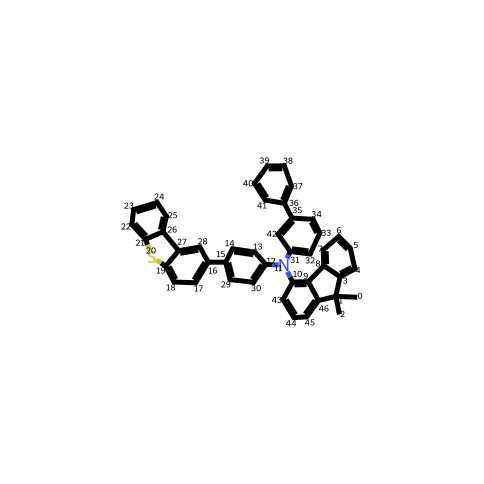 CC1(C)c2ccccc2-c2c(N(c3ccc(-c4ccc5sc6ccccc6c5c4)cc3)c3cccc(-c4ccccc4)c3)cccc21